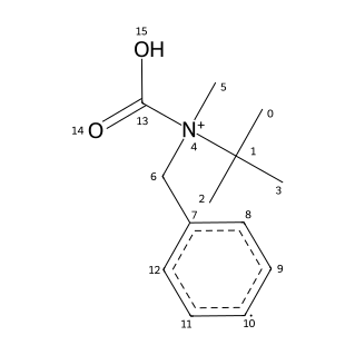 CC(C)(C)[N+](C)(Cc1cc[c]cc1)C(=O)O